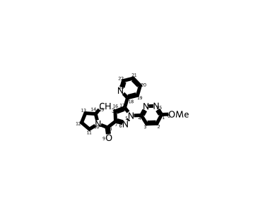 COc1ccc(-n2nc(C(=O)N3CCCC3C)cc2-c2ccccn2)nn1